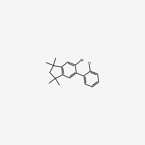 CC1(C)CC(C)(C)c2cc(-c3ccccc3Cl)c(Br)cc21